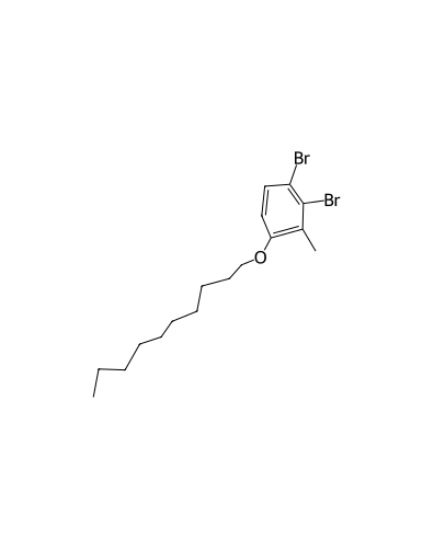 CCCCCCCCCCOc1ccc(Br)c(Br)c1C